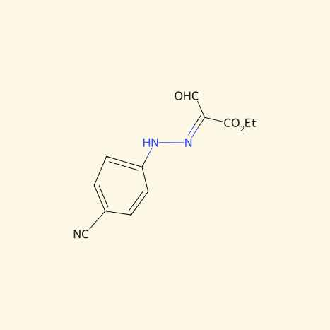 CCOC(=O)/C(C=O)=N/Nc1ccc(C#N)cc1